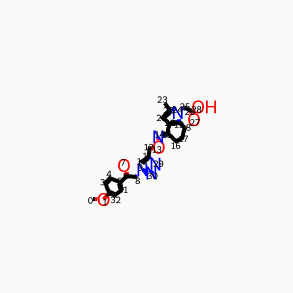 COc1ccc(C(=O)Cn2cc(CON=C3CCCc4c3cc(C)n4CC(=O)O)nn2)cc1